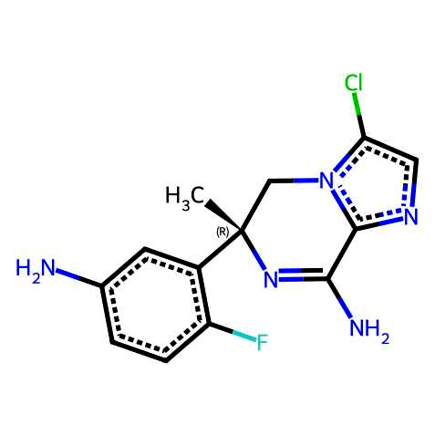 C[C@@]1(c2cc(N)ccc2F)Cn2c(Cl)cnc2C(N)=N1